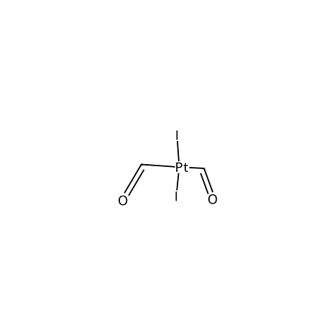 O=[CH][Pt]([I])([I])[CH]=O